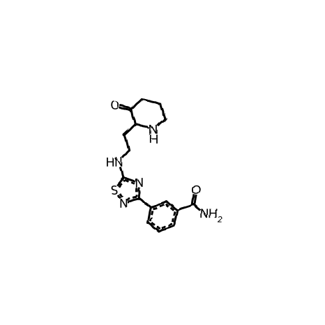 NC(=O)c1cccc(-c2nsc(NCCC3NCCCC3=O)n2)c1